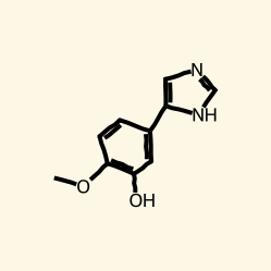 COc1ccc(-c2cnc[nH]2)cc1O